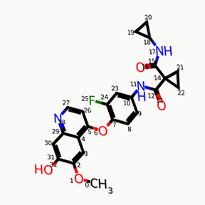 COc1cc2c(Oc3ccc(NC(=O)C4(C(=O)NC5CC5)CC4)cc3F)ccnc2cc1O